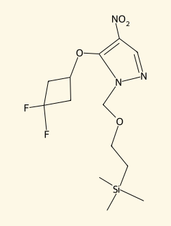 C[Si](C)(C)CCOCn1ncc([N+](=O)[O-])c1OC1CC(F)(F)C1